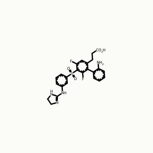 Nc1ccccc1-c1c(CCC(=O)O)cc(F)c(S(=O)(=O)c2cccc(NC3=NCCN3)c2)c1F